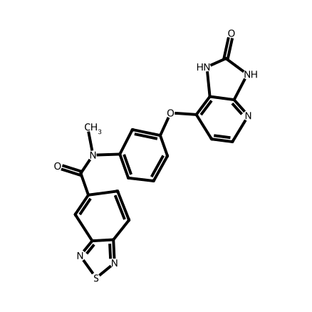 CN(C(=O)c1ccc2nsnc2c1)c1cccc(Oc2ccnc3[nH]c(=O)[nH]c23)c1